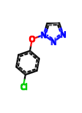 Clc1ccc(On2ccnn2)cc1